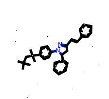 CC(C)(C)CC(C)(C)c1ccc(N2N=C(C=Cc3ccccc3)CC2c2ccccc2)cc1